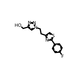 OCc1cn(CCc2csc(-c3ccc(F)cc3)n2)nn1